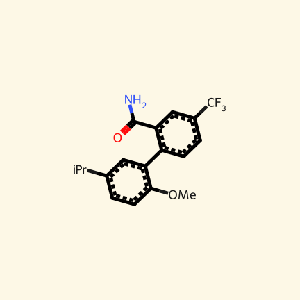 COc1ccc(C(C)C)cc1-c1ccc(C(F)(F)F)cc1C(N)=O